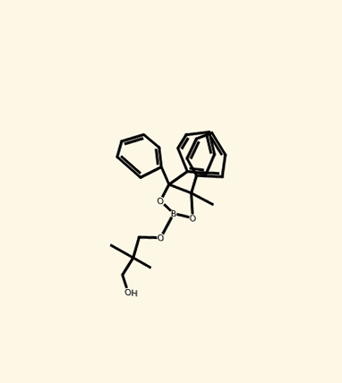 CC(C)(CO)COB1OC(C)(c2ccccc2)C(c2ccccc2)(c2ccccc2)O1